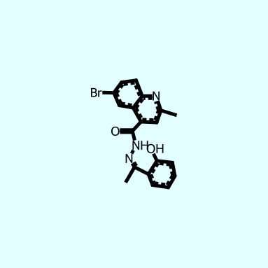 CC(=NNC(=O)c1cc(C)nc2ccc(Br)cc12)c1ccccc1O